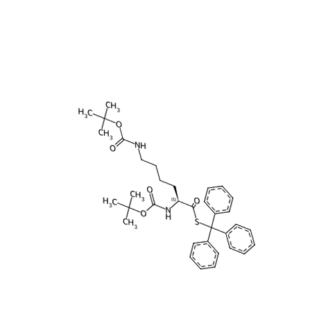 CC(C)(C)OC(=O)NCCCC[C@H](NC(=O)OC(C)(C)C)C(=O)SC(c1ccccc1)(c1ccccc1)c1ccccc1